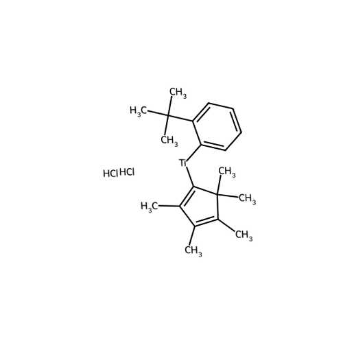 CC1=C(C)C(C)(C)[C]([Ti][c]2ccccc2C(C)(C)C)=C1C.Cl.Cl